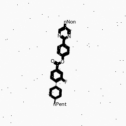 CCCCCCCCCc1cnc(-c2ccc(OC(=O)c3ccc([C@H]4CC[C@H](CCCCC)CC4)c(F)c3)cc2)nc1